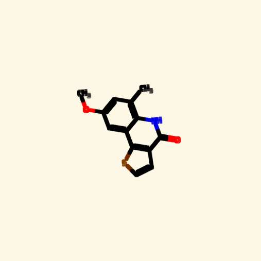 COc1cc(C)c2[nH]c(=O)c3ccsc3c2c1